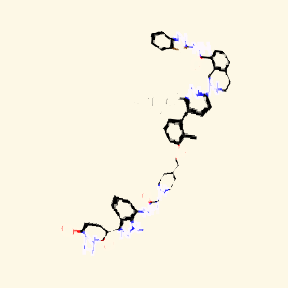 Cc1c(OCCC2CCN(CC(=O)Nc3cccc4c(C5CCC(=O)NC5=O)nn(C)c34)CC2)cccc1-c1ccc(N2CCc3cccc(C(=O)Nc4nc5ccccc5s4)c3C2)nc1C(=O)O